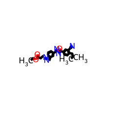 CCOC(=O)CCn1ncc2cc(-c3noc(-c4ccc(CC(C)C)c(C#N)c4)n3)ccc21